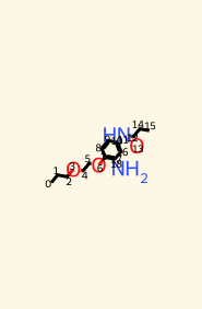 CCCOCCOc1ccc(NC(=O)CC)cc1N